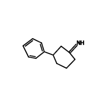 N=C1CCCC(c2ccccc2)C1